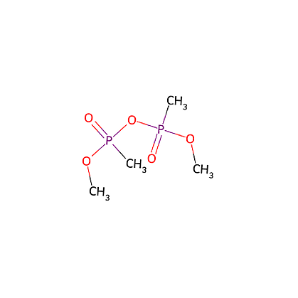 COP(C)(=O)OP(C)(=O)OC